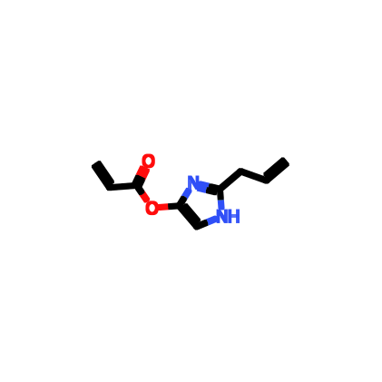 C=CCc1nc(OC(=O)C=C)c[nH]1